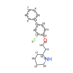 Fc1cc(-c2cc[c]cc2)ccc1OCCC1CCCCN1